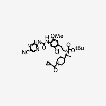 COc1cc(CCN(C(=O)OC(C)(C)C)[C@@H](C)C2CCN(C(=O)C3CC3)CC2)c(Cl)cc1NC(=O)Nc1cnc(C#N)cn1